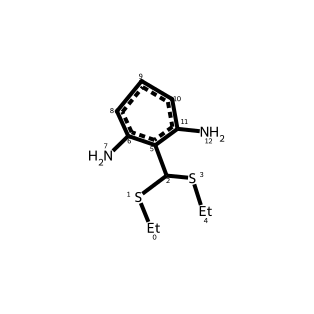 CCSC(SCC)c1c(N)cccc1N